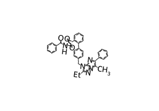 CCc1nn2c(C)c(-c3ccccc3)nc2n1Cc1ccc(-c2ccccc2S(=O)(=O)NC(=O)c2ccccc2)cc1